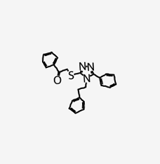 O=C(CSc1nnc(-c2ccccc2)n1CCc1ccccc1)c1ccccc1